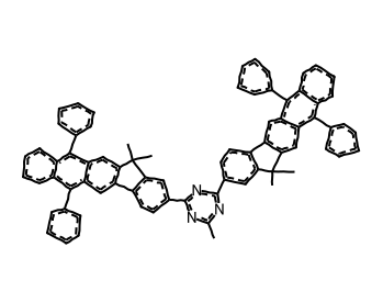 Cc1nc(-c2ccc3c(c2)C(C)(C)c2cc4c(-c5ccccc5)c5ccccc5c(-c5ccccc5)c4cc2-3)nc(-c2ccc3c(c2)C(C)(C)c2cc4c(-c5ccccc5)c5ccccc5c(-c5ccccc5)c4cc2-3)n1